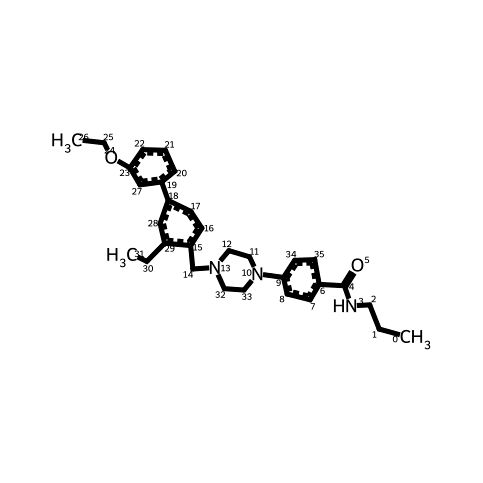 CCCNC(=O)c1ccc(N2CCN(Cc3ccc(-c4cccc(OCC)c4)cc3CC)CC2)cc1